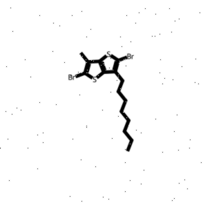 CCCCCCCCc1c(Br)sc2c(C)c(Br)sc12